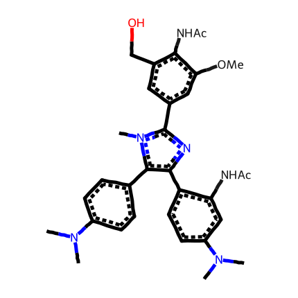 COc1cc(-c2nc(-c3ccc(N(C)C)cc3NC(C)=O)c(-c3ccc(N(C)C)cc3)n2C)cc(CO)c1NC(C)=O